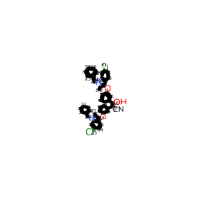 Cc1c(Oc2cccc(C(O)C(C#N)c3cccc(Oc4c(C)n(Cc5ccccc5)c5cc(Cl)ccc45)c3)c2)c2ccc(Cl)cc2n1Cc1ccccc1